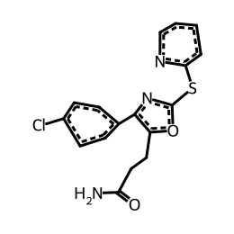 NC(=O)CCc1oc(Sc2ccccn2)nc1-c1ccc(Cl)cc1